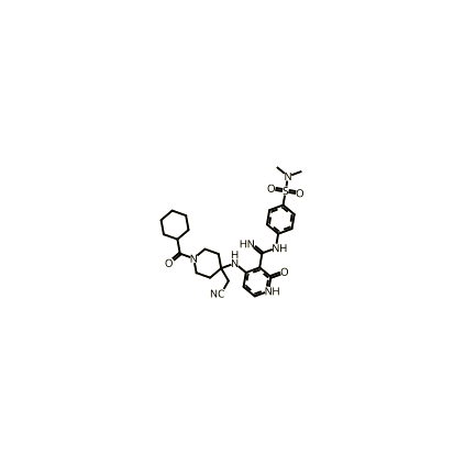 CN(C)S(=O)(=O)c1ccc(NC(=N)c2c(NC3(CC#N)CCN(C(=O)C4CCCCC4)CC3)cc[nH]c2=O)cc1